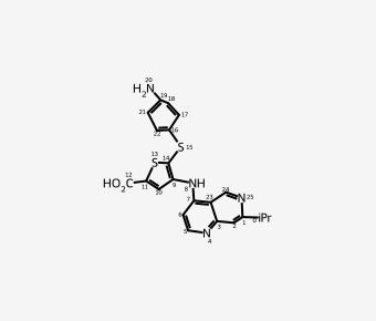 CC(C)c1cc2nccc(Nc3cc(C(=O)O)sc3Sc3ccc(N)cc3)c2cn1